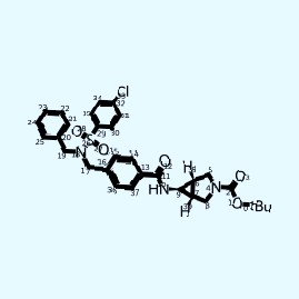 CC(C)(C)OC(=O)N1C[C@@H]2[C@H](C1)[C@H]2NC(=O)c1ccc(CN(Cc2ccccc2)S(=O)(=O)c2ccc(Cl)cc2)cc1